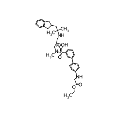 CCOC(=O)CNc1ccc(-c2cccc(S(=O)(=O)N(C)C[C@H](O)CNC(C)(C)CC3Cc4ccccc4C3)c2)cc1